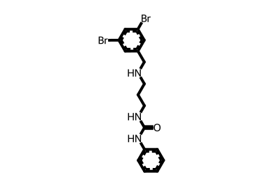 O=C(NCCCNCc1cc(Br)cc(Br)c1)Nc1ccccc1